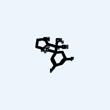 CC1([C@@](C)(O)[C@@H]2CCCN2)C=C(F)C=C(F)C1